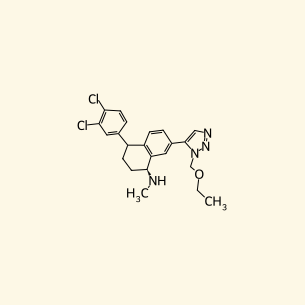 CCOCn1nncc1-c1ccc2c(c1)[C@@H](NC)CCC2c1ccc(Cl)c(Cl)c1